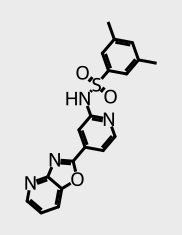 Cc1cc(C)cc(S(=O)(=O)Nc2cc(-c3nc4ncccc4o3)ccn2)c1